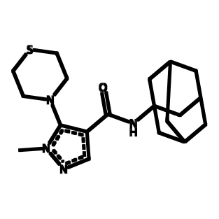 Cn1ncc(C(=O)NC23CC4CC(CC(C4)C2)C3)c1N1CCSCC1